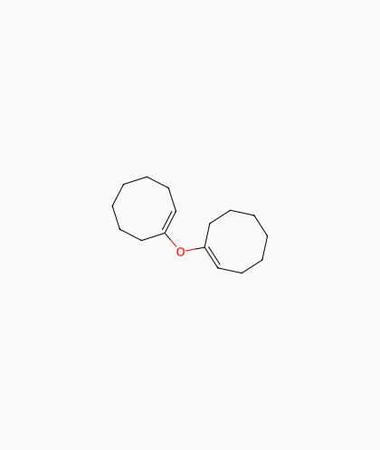 C1=C(OC2=CCCCCCC2)CCCCCC1